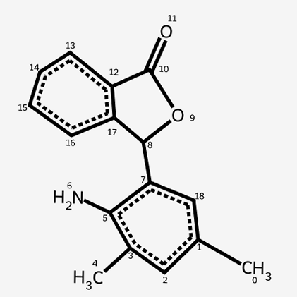 Cc1cc(C)c(N)c(C2OC(=O)c3ccccc32)c1